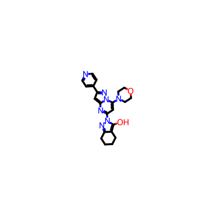 Oc1c2c(nn1-c1cc(N3CCOCC3)n3nc(-c4ccncc4)cc3n1)CCCC2